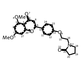 COc1cc(OC)c2c(=O)cc(-c3ccc(OCCN4CCCC4=O)cc3)oc2c1